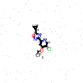 FC(F)(F)COc1cc(-c2noc(C3CC3)n2)ncc1Cl